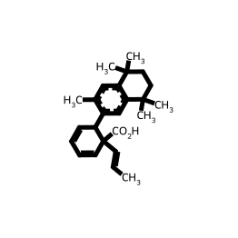 CC=CC1(C(=O)O)C=CC=CC1c1cc2c(cc1C)C(C)(C)CCC2(C)C